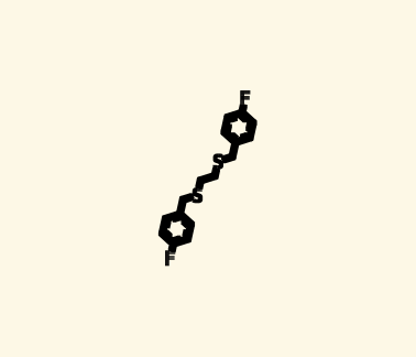 Fc1ccc(CSCCSCc2ccc(F)cc2)cc1